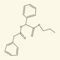 CCCOC(=O)C(OC(=O)Cc1ccccc1)c1ccccc1